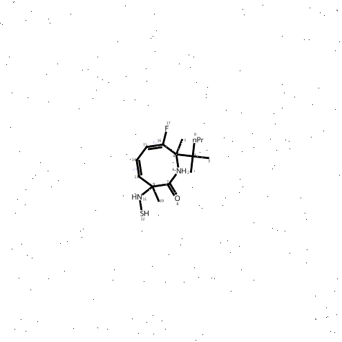 CCCC(C)(C)C1(C)NC(=O)C(C)(NS)/C=C\C=C/1F